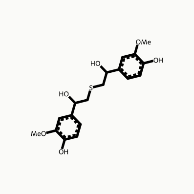 COc1cc(C(O)CSCC(O)c2ccc(O)c(OC)c2)ccc1O